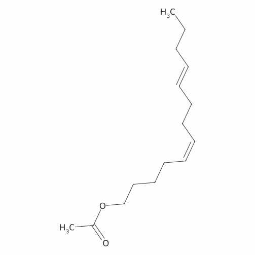 CCC/C=C/CC/C=C\CCCCOC(C)=O